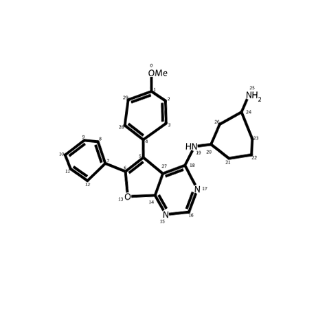 COc1ccc(-c2c(-c3ccccc3)oc3ncnc(NC4CCCC(N)C4)c23)cc1